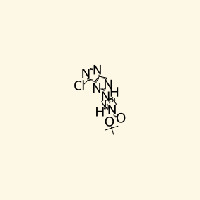 CC(C)(C)OC(=O)N1C[C@@H]2C[C@H]1CN2c1ncc2ncnc(Cl)c2n1